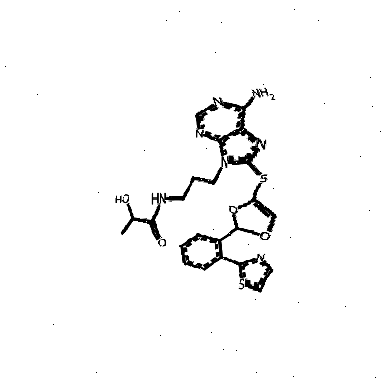 CC(O)C(=O)NCCCn1c(SC2=COC(c3ccccc3-c3nccs3)O2)nc2c(N)ncnc21